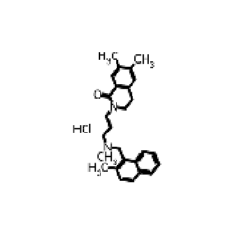 Cc1cc2c(cc1C)C(=O)N(CCCN(C)Cc1c(C)ccc3ccccc13)CC2.Cl